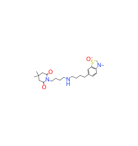 CN1C[S+]([O-])c2cc(CCCCNCCCCN3C(=O)CC(C)(C)CC3=O)ccc21